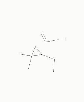 CCC1CC1(C)C.O=CO